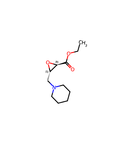 CCOC(=O)[C@@H]1O[C@H]1CN1CCCCC1